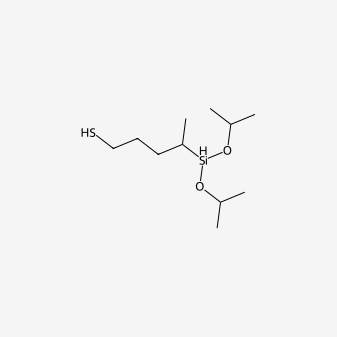 CC(C)O[SiH](OC(C)C)C(C)CCCS